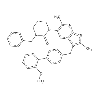 Cc1nc2nc(C)n(Cc3ccc(-c4ccccc4OC(=O)O)cc3)c2cc1N1CCCN(Cc2ccccc2)C1=O